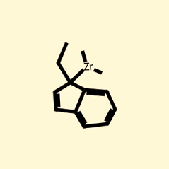 CC[C]1([Zr]([CH3])[CH3])C=Cc2ccccc21